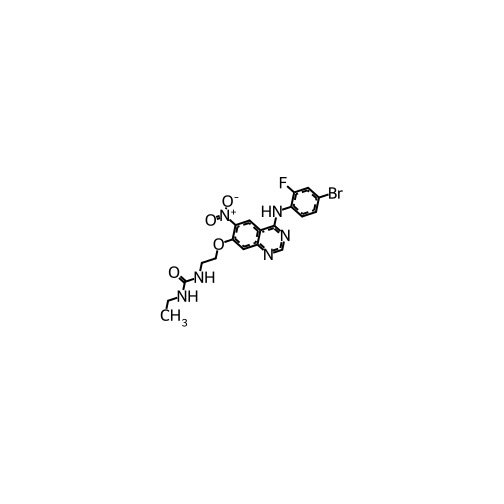 CCNC(=O)NCCOc1cc2ncnc(Nc3ccc(Br)cc3F)c2cc1[N+](=O)[O-]